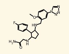 COc1ccc(-n2cnnn2)cc1CNC1CCC(NCC(N)=O)C1c1ccc(F)cc1